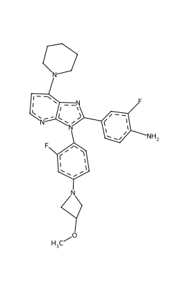 COC1CN(c2ccc(-n3c(-c4ccc(N)c(F)c4)nc4c(N5CCCCC5)ccnc43)c(F)c2)C1